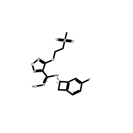 CS(=O)(=O)CCOc1nonc1/C(=N\O)N[C@H]1Cc2ccc(F)cc21